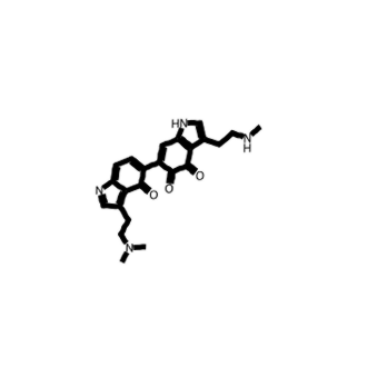 CNCCc1c[nH]c2c1C(=O)C(=O)C(C1=CC=C3N=CC(CCN(C)C)=C3C1=O)=C2